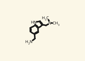 CN(C)Cc1c[nH]c2ccc(CN)cc12